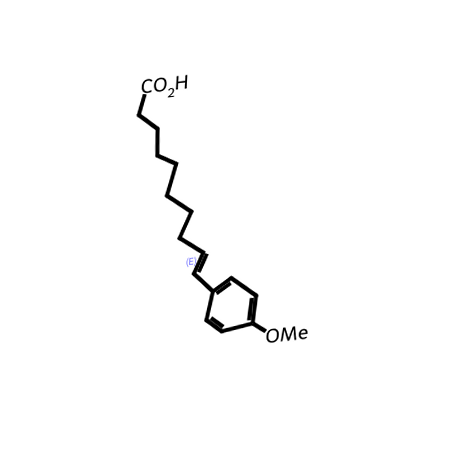 COc1ccc(/C=C/CCCCCCCC(=O)O)cc1